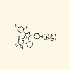 N#CC1(NC(=O)C2CCCCC2c2oc(-c3ccc(F)cc3F)nc2-c2ccc(N3CC[SH](=N)(O)CC3)cc2)CC1